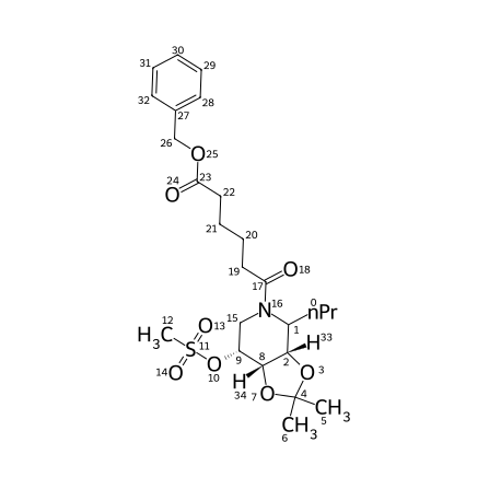 CCCC1[C@@H]2OC(C)(C)O[C@@H]2[C@H](OS(C)(=O)=O)CN1C(=O)CCCCC(=O)OCc1ccccc1